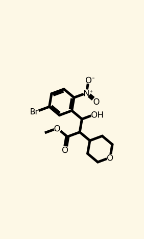 COC(=O)C(C1CCOCC1)C(O)c1cc(Br)ccc1[N+](=O)[O-]